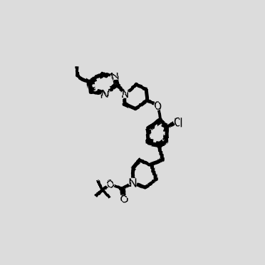 CCc1cnc(N2CCC(Oc3ccc(CC4CCN(C(=O)OC(C)(C)C)CC4)cc3Cl)CC2)nc1